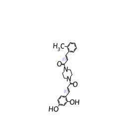 Cc1ccccc1/C=C/C(=O)N1CCN(C(=O)/C=C/c2ccc(O)cc2O)CC1